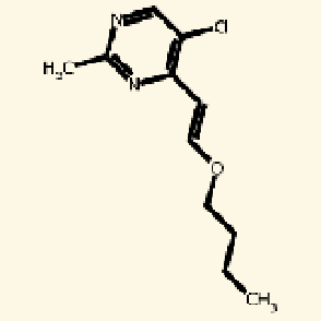 CCCCO/C=C/c1nc(C)ncc1Cl